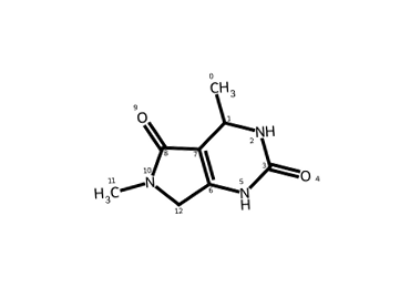 CC1NC(=O)NC2=C1C(=O)N(C)C2